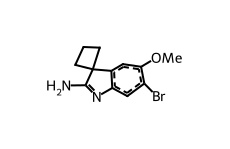 COc1cc2c(cc1Br)N=C(N)C21CCC1